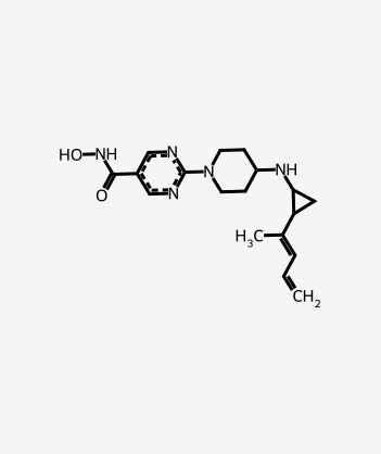 C=C/C=C(\C)C1CC1NC1CCN(c2ncc(C(=O)NO)cn2)CC1